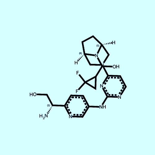 N[C@H](CO)c1ccc(Nc2nccc(N3C[C@H]4CC[C@@H](C3)N4C(O)C3CC3(F)F)n2)cn1